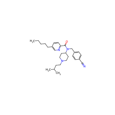 CCCCCc1ccc(C(=O)N(Cc2ccc(C#N)cc2)C2CCN(CCC(C)C)CC2)nc1